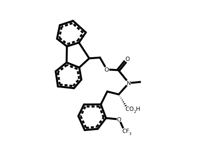 CN(C(=O)OCC1c2ccccc2-c2ccccc21)[C@@H](Cc1ccccc1OC(F)(F)F)C(=O)O